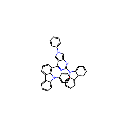 c1ccc(-n2cc3nc(-n4c5ccccc5c5ccccc54)nc(-c4cccc5c6ccccc6n(-c6ccccc6)c45)c3c2)cc1